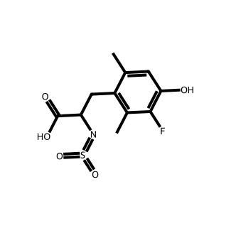 Cc1cc(O)c(F)c(C)c1CC(N=S(=O)=O)C(=O)O